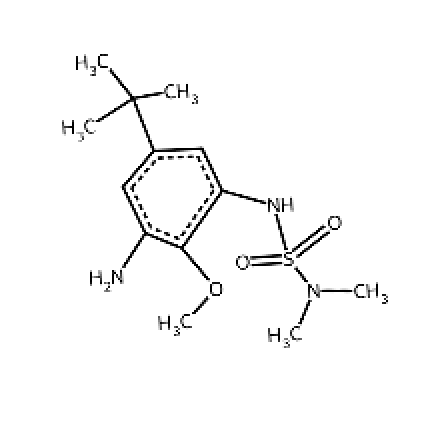 COc1c(N)cc(C(C)(C)C)cc1NS(=O)(=O)N(C)C